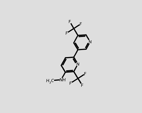 CNc1ccc(-c2cncc(C(F)(F)F)c2)nc1C(F)(F)F